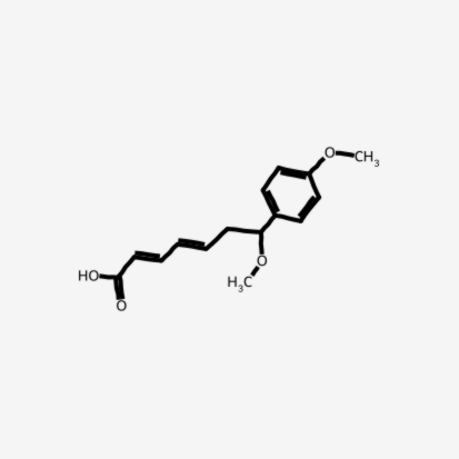 COc1ccc(C(C/C=C/C=C/C(=O)O)OC)cc1